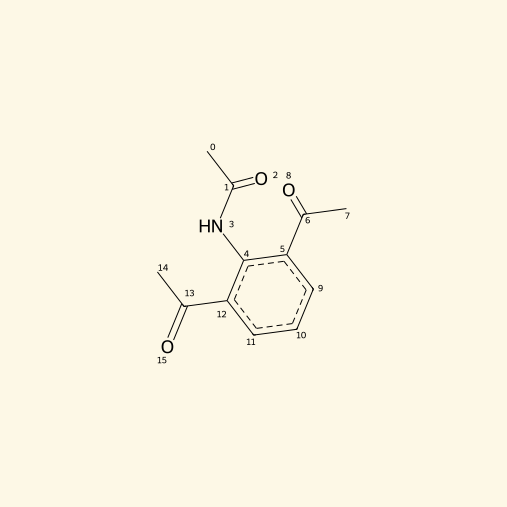 CC(=O)Nc1c(C(C)=O)cccc1C(C)=O